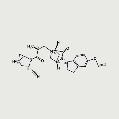 C[C@@H](CN1C[C@@H]2C[C@H]1C(=O)N2[C@H]1CCc2cc(OC=O)ccc21)C(=O)N1C2C[C@H]2C[C@H]1C#N